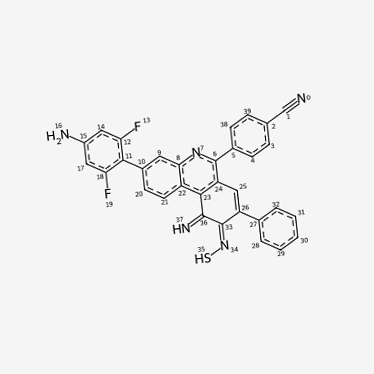 N#Cc1ccc(-c2nc3cc(-c4c(F)cc(N)cc4F)ccc3c3c2C=C(c2ccccc2)/C(=N/S)C3=N)cc1